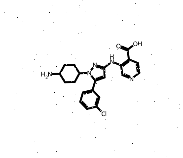 NC1CCC(n2nc(Nc3cnccc3C(=O)O)cc2-c2cccc(Cl)c2)CC1